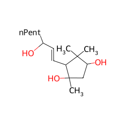 CCCCCC(O)/C=C/C1C(C)(O)CC(O)C1(C)C